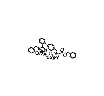 CCCCC(=O)N(Cc1ccc(-c2ccccc2-c2nnnn2Cc2ccccc2OC)cc1)[C@H](C(=O)OCc1ccccc1)C(C)C